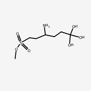 COS(=O)(=O)CCC(N)CCC(O)(O)O